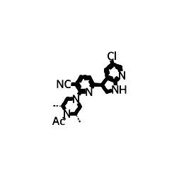 CC(=O)N1[C@H](C)CN(c2nc(C3CNc4ncc(Cl)cc43)ccc2C#N)C[C@@H]1C